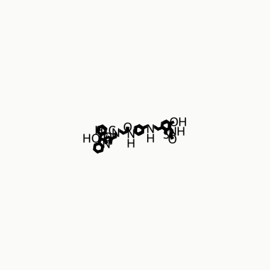 CN(CCC(=O)Nc1ccc(CNCCc2ccc(O)c3[nH]c(=O)sc23)cc1)Cc1cnc(C(O)(c2ccccc2)C2CCCCC2)o1